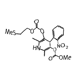 COC(=O)OC1=C(C)NC(C)=C(OC(=O)OCCSC)C1c1ccccc1[N+](=O)[O-]